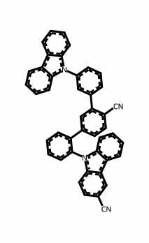 N#Cc1ccc2c(c1)c1ccccc1n2-c1ccccc1-c1ccc(C#N)c(-c2cccc(-n3c4ccccc4c4ccccc43)c2)c1